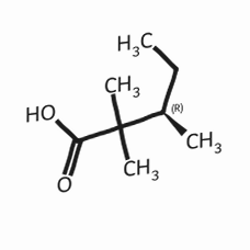 CC[C@@H](C)C(C)(C)C(=O)O